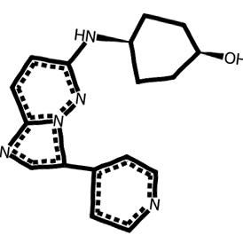 O[C@H]1CC[C@@H](Nc2ccc3ncc(-c4ccncc4)n3n2)CC1